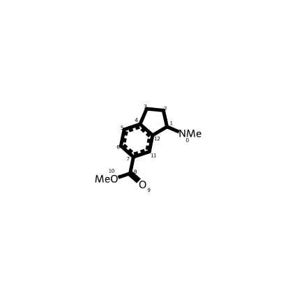 CNC1CCc2ccc(C(=O)OC)cc21